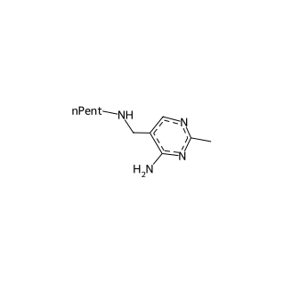 CCCCCNCc1cnc(C)nc1N